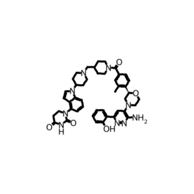 Cc1cc(C(=O)N2CCC(CN3CCC(n4ccc5c(N6CCC(=O)NC6=O)cccc54)CC3)CC2)ccc1[C@@H]1CN(c2cc(-c3ccccc3O)nnc2N)CCO1